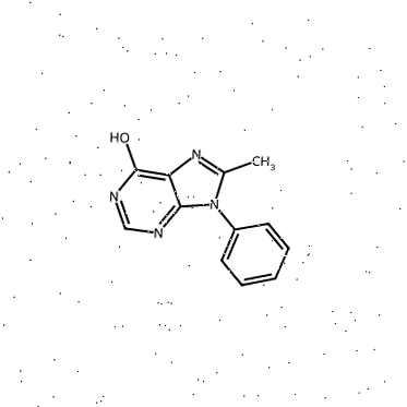 Cc1nc2c(O)ncnc2n1-c1ccccc1